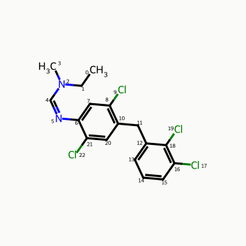 CCN(C)/C=N\c1cc(Cl)c(Cc2cccc(Cl)c2Cl)cc1Cl